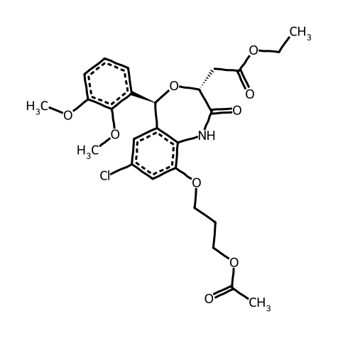 CCOC(=O)C[C@H]1O[C@H](c2cccc(OC)c2OC)c2cc(Cl)cc(OCCCOC(C)=O)c2NC1=O